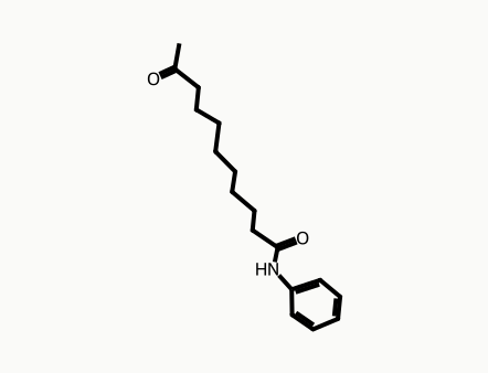 CC(=O)CCCCCCCCC(=O)Nc1ccccc1